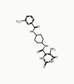 Cc1cccc(C(=O)NC2CCC(NC(=O)c3[nH]c(=O)[nH]c(=O)c3N)CC2)c1